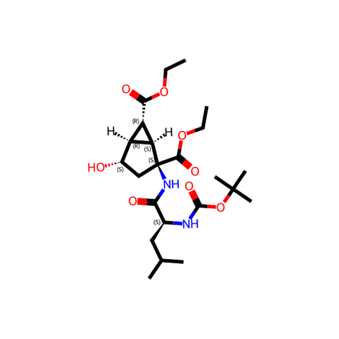 CCOC(=O)[C@H]1[C@H]2[C@@H]1[C@](NC(=O)[C@H](CC(C)C)NC(=O)OC(C)(C)C)(C(=O)OCC)C[C@@H]2O